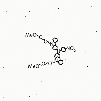 COCCOCCOCCN1c2ccccc2C2=CC1C=CC(N(c1ccc([N+](=O)[O-])cc1)c1ccc3c(c1)c1ccccc1n3CCOCCOCCOC)=C2